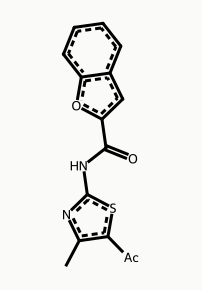 CC(=O)c1sc(NC(=O)c2cc3ccccc3o2)nc1C